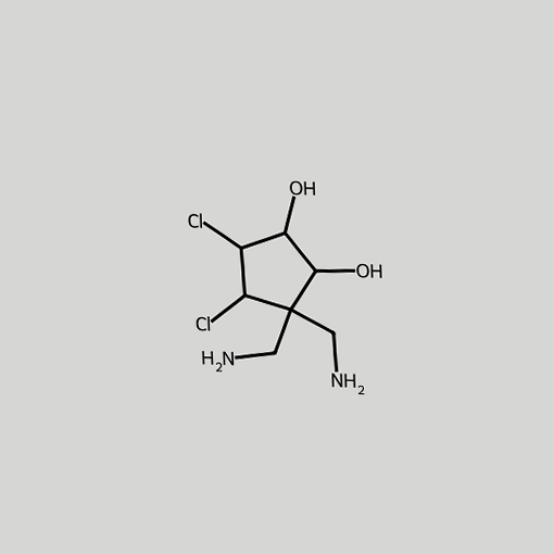 NCC1(CN)C(O)C(O)C(Cl)C1Cl